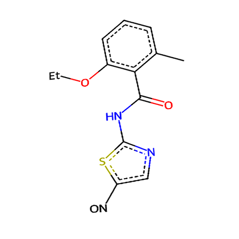 CCOc1cccc(C)c1C(=O)Nc1ncc(N=O)s1